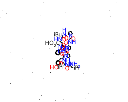 CC[C@H](C)[C@H](NC(=O)[C@@H]1CCCN1C(=O)CNC(=O)[C@@H]1CCCN1C(=O)[C@H](Cc1ccccc1)NC(=O)[C@@H]1CCCN1C(=O)[C@H](Cc1ccc(O)cc1)NC(=O)[C@@H](NC(=O)[C@@H](N)CC(C)C)C(C)C)C(=O)N[C@@H](Cc1c[nH]cn1)C(=O)O